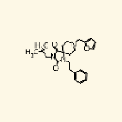 CC(C)CN1C(=O)N(CCc2ccccc2)C2(CCN(Cc3ccco3)CC2)C1=O